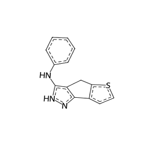 c1ccc(Nc2[nH]nc3c2Cc2sccc2-3)cc1